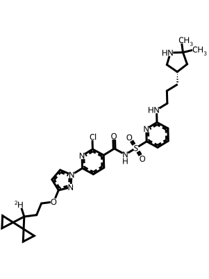 [2H]C1(CCOc2ccn(-c3ccc(C(=O)NS(=O)(=O)c4cccc(NCCC[C@@H]5CNC(C)(C)C5)n4)c(Cl)n3)n2)C2(CC2)C12CC2